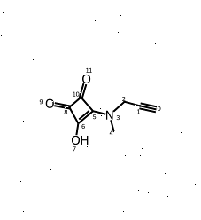 C#CCN(C)c1c(O)c(=O)c1=O